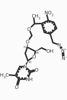 Cc1cn([C@H]2C[C@H](OCOC(C)c3cc(CN=[N+]=[N-])ccc3[N+](=O)[O-])[C@@H](CO)O2)c(=O)[nH]c1=O